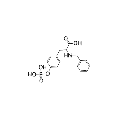 O=C(O)C(Cc1ccc(OP(=O)(O)O)cc1)NCc1ccccc1